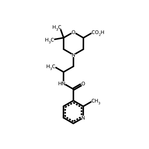 Cc1ncccc1C(=O)NC(C)CN1CC(C(=O)O)OC(C)(C)C1